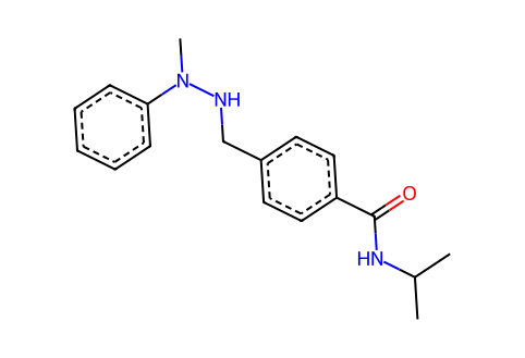 CC(C)NC(=O)c1ccc(CNN(C)c2ccccc2)cc1